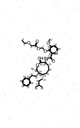 CCOCC(=O)OCOc1c(OC)ccnc1C(=O)N[C@H]1CCC[C@H](CCC(C)C)[C@@H](CCc2ccccc2)[C@H](C)OC1=O